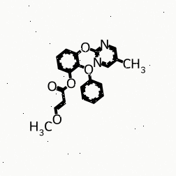 COC=CC(=O)Oc1cccc(Oc2ncc(C)cn2)c1Oc1ccccc1